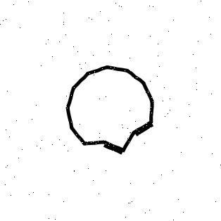 [C]1=C/CCCCCCCCC/C=C/1